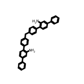 Nc1cc(-c2ccccc2)ccc1-c1ccc(Cc2ccc(-c3ccc(-c4ccccc4)cc3N)cc2)cc1